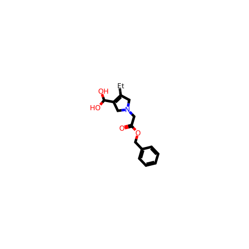 CCC1=C(C(O)O)CN(CC(=O)OCc2ccccc2)C1